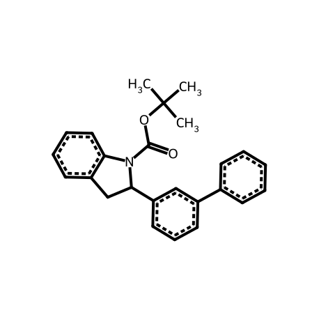 CC(C)(C)OC(=O)N1c2ccccc2CC1c1cccc(-c2ccccc2)c1